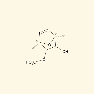 C[C@]12C=C[C@](C)(O1)C(O)C2OC(=O)O